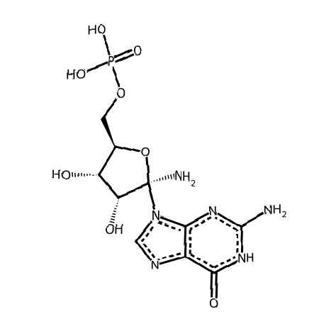 Nc1nc2c(ncn2[C@]2(N)O[C@H](COP(=O)(O)O)[C@@H](O)[C@H]2O)c(=O)[nH]1